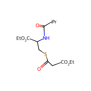 CCOC(=O)CC(=O)SCC(NC(=O)C(C)C)C(=O)OCC